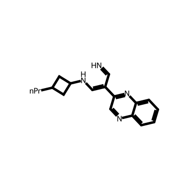 CCCC1CC(N/C=C(\C=N)c2cnc3ccccc3n2)C1